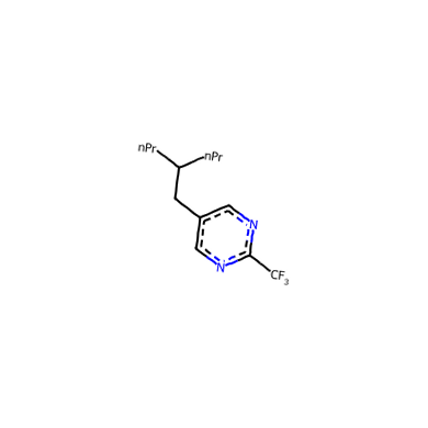 CCCC(CCC)Cc1cnc(C(F)(F)F)nc1